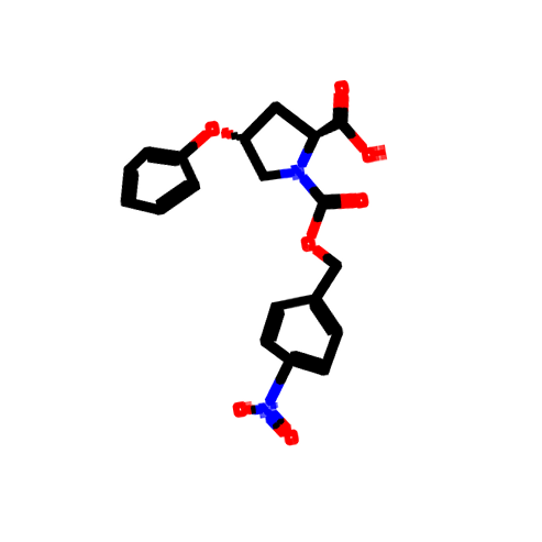 O=C(O)[C@@H]1C[C@@H](Oc2ccccc2)CN1C(=O)OCc1ccc([N+](=O)[O-])cc1